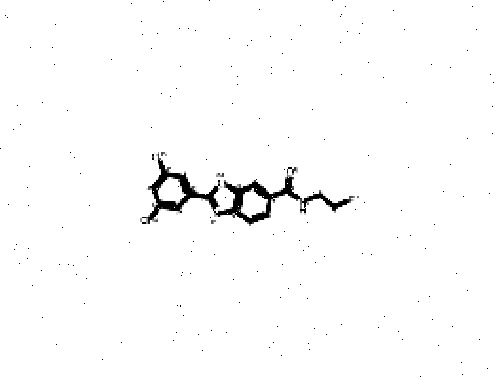 O=C(NCCF)c1ccc2nc(-c3cc(Cl)cc(Cl)c3)oc2c1